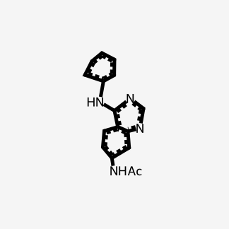 CC(=O)Nc1ccc2c(Nc3ccccc3)ncnc2c1